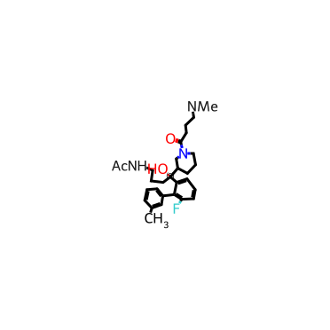 CNCCCC(=O)N1CCCC([C@@](O)(CCCNC(C)=O)c2cccc(F)c2-c2cccc(C)c2)C1